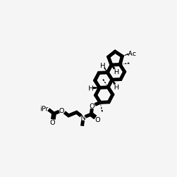 CC(=O)[C@H]1CC[C@H]2[C@@H]3CC[C@H]4C[C@](C)(OC(=O)N(C)CCOC(=O)C(C)C)CC[C@]4(C)[C@H]3CC[C@]12C